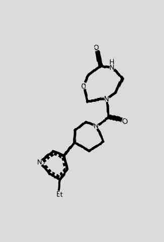 CCc1cncc(C2CCN(C(=O)N3CCNC(=O)COC3)CC2)c1